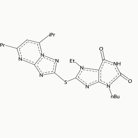 CCCCn1c(=O)[nH]c(=O)c2c1nc(Sc1nc3nc(C(C)C)cc(C(C)C)n3n1)n2CC